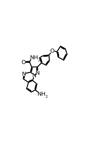 NC(=O)c1c(-c2ccc(Oc3ccccc3)cc2)nn2c1ncc1ccc(N)cc12